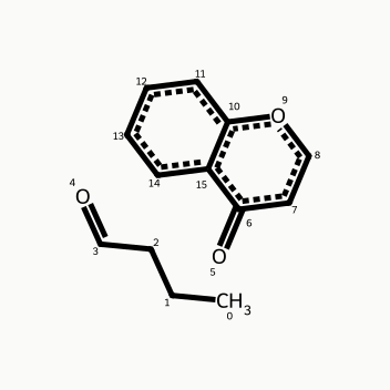 CCCC=O.O=c1ccoc2ccccc12